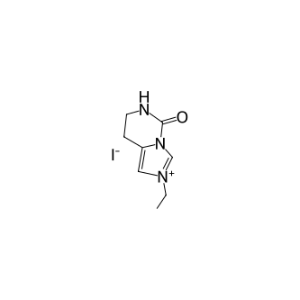 CC[n+]1cc2n(c1)C(=O)NCC2.[I-]